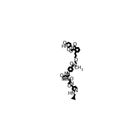 CN(CCOCCCc1cccc2c1C(=O)N(C1CCC(=O)NC1=O)C2=O)C(=O)c1ccc(-n2cc(NC(=O)c3coc(-c4ccnc(NCC5CC5)c4)n3)c(C(N)=O)n2)cc1